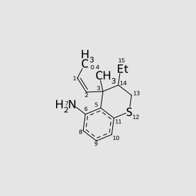 C/C=C\C1(C)c2c(N)cccc2SCC1CC